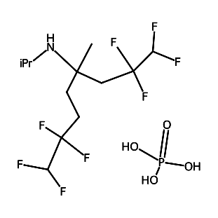 CC(C)NC(C)(CCC(F)(F)C(F)F)CC(F)(F)C(F)F.O=P(O)(O)O